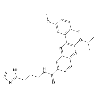 COc1ccc(F)c(-c2nc3cc(C(=O)NCCCc4ncc[nH]4)ccc3nc2OC(C)C)c1